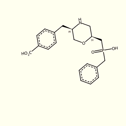 O=C(O)c1ccc(C[C@@H]2CO[C@H](CP(=O)(O)Cc3ccccc3)CN2)cc1